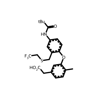 Cc1ccc(CC(=O)O)cc1Oc1ccc(NC(=O)C(C)(C)C)cc1CSCC(F)(F)F